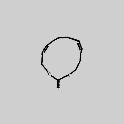 C=C1CCC=CCCC=CCCC1